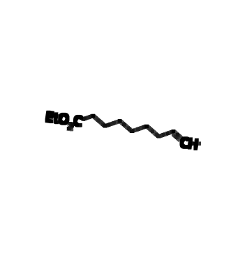 [CH]=CCCCCCCC(=O)OCC